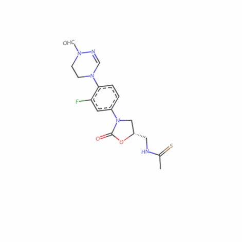 CC(=S)NC[C@H]1CN(c2ccc(N3C=NN(C=O)CC3)c(F)c2)C(=O)O1